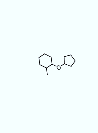 CC1CCCCC1OC1CCCC1